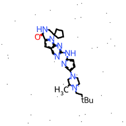 CC1CN(c2ccc(Nc3ncc4cc5n(c4n3)C3(CCCC3)CNC5=O)nc2)CCN1CCC(C)(C)C